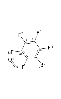 C=O.Fc1c(F)c(F)c(Br)c(F)c1F